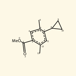 COC(=O)c1cc(C)c(C2CC2)cc1C